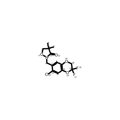 CC1(C)CON(Cc2cc3c(cc2Cl)OC(F)(F)CO3)C1=O